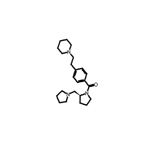 O=C(c1ccc(CCN2CCCCC2)cc1)N1CCC[C@H]1CN1CCCC1